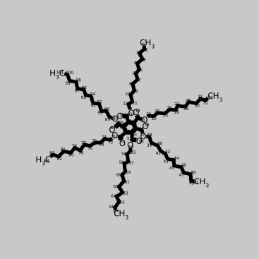 CCCCCCCCCCCCCOC(=O)c1c(C(=O)OCCCCCCCCCCCCC)c(C(=O)OCCCCCCCCCCCCC)c(C(=O)OCCCCCCCCCCCCC)c(C(=O)OCCCCCCCCCCCCC)c1C(=O)OCCCCCCCCCCCCC